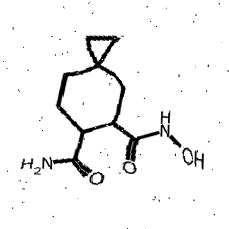 NC(=O)C1CCC2(CC2)CC1C(=O)NO